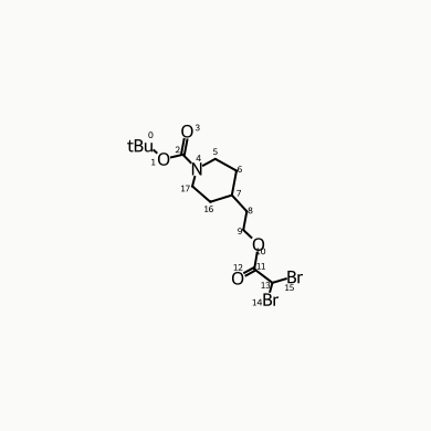 CC(C)(C)OC(=O)N1CCC(CCOC(=O)C(Br)Br)CC1